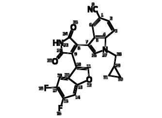 N#Cc1ccc2c(c1)c(C1=C(c3coc4cc(F)c(F)cc34)C(=O)NC1=O)cn2CC1CC1